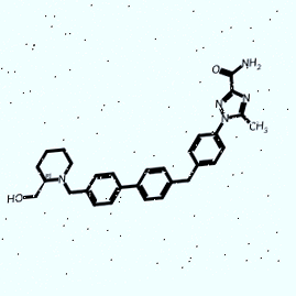 Cc1nc(C(N)=O)nn1-c1ccc(Cc2ccc(-c3ccc(CN4CCCC[C@@H]4CO)cc3)cc2)cc1